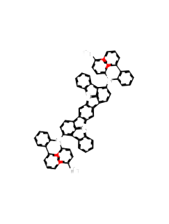 CC(C)c1ccc(N(c2ccccc2-c2ccccc2)c2ccc3c4cc5c(cc4n4c6ccccc6c2c34)c2ccc(N(c3ccc(C(C)C)cc3)c3ccccc3-c3ccccc3)c3c4ccccc4n5c23)cc1